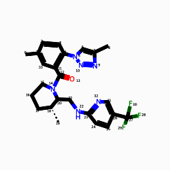 Cc1ccc(-n2cc(C)nn2)c(C(=O)N2CCC[C@@H](C)C2CNc2ccc(C(F)(F)F)cn2)c1